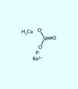 O=[Si]([O-])[O-].[Ba+2].[CaH2].[P]